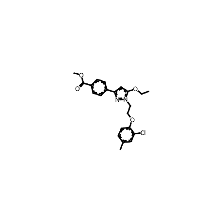 CCOc1cc(-c2ccc(C(=O)OC)cc2)nn1CCOc1ccc(C)cc1Cl